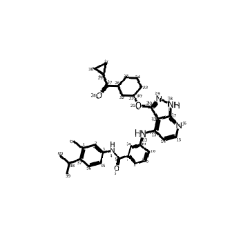 Cc1cc(NC(=O)c2cccc(Nc3ccnc4[nH]nc(O[C@@H]5CCCC(C(=O)C6CC6)C5)c34)c2)ccc1C(C)C